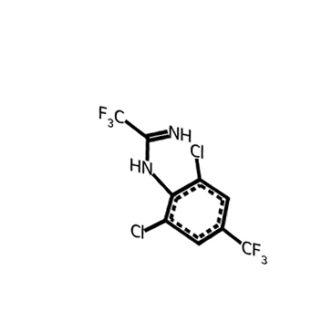 N=C(Nc1c(Cl)cc(C(F)(F)F)cc1Cl)C(F)(F)F